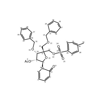 CC(=O)O[C@H]1[C@H](n2ccccc2=O)O[C@@](COCc2ccccc2)(COS(=O)(=O)c2ccc(C)cc2)[C@H]1OCc1ccccc1